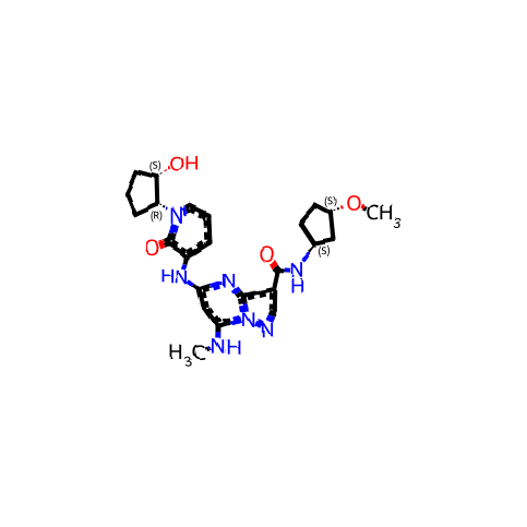 CNc1cc(Nc2cccn([C@@H]3CCC[C@@H]3O)c2=O)nc2c(C(=O)N[C@H]3CC[C@H](OC)C3)cnn12